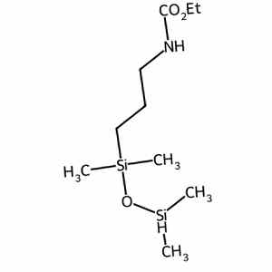 CCOC(=O)NCCC[Si](C)(C)O[SiH](C)C